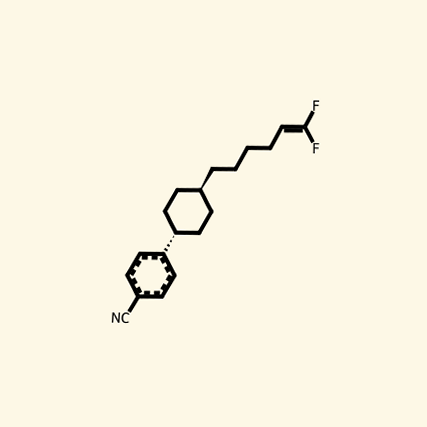 N#Cc1ccc([C@H]2CC[C@H](CCCCC=C(F)F)CC2)cc1